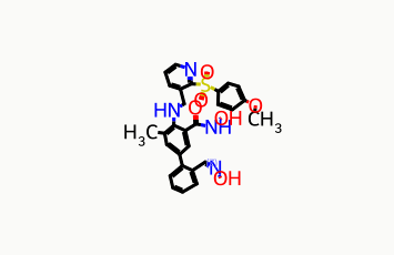 COc1ccc(S(=O)(=O)c2ncccc2CNc2c(C)cc(-c3ccccc3/C=N\O)cc2C(=O)NO)cc1